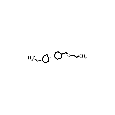 C=CCOCC1CCC([C@H]2CC[C@H](CC)CC2)CC1